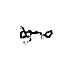 CCn1c(C#CCNc2ccccc2)cc2c(C=O)cccc21